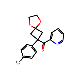 O=C(c1ccccn1)C1(c2ccc(C(F)(F)F)cc2)CC2(C1)OCCO2